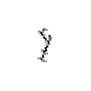 CC(C)(C)NCCNC(=O)CCCOCC(N=[N+]=[N-])OCCOCC(=O)OC(C)(C)C